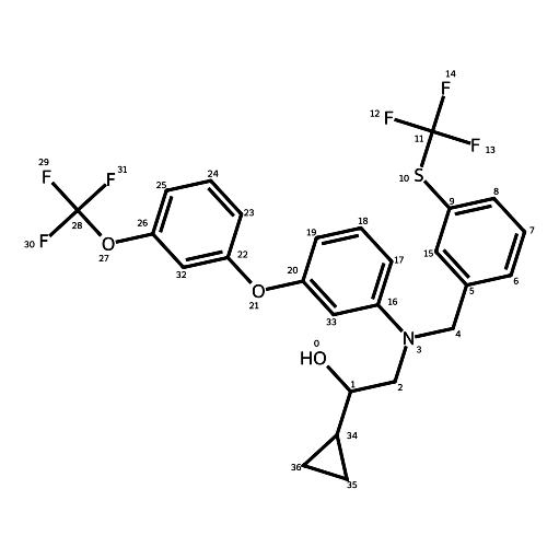 OC(CN(Cc1cccc(SC(F)(F)F)c1)c1cccc(Oc2cccc(OC(F)(F)F)c2)c1)C1CC1